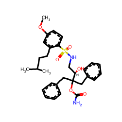 COc1ccc(S(=O)(=O)NC[C@@H](O)C(Cc2ccccc2)(Cc2ccccc2)OC(N)=O)c(CCC(C)C)c1